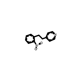 O=[N+]([O-])c1ccccc1CCc1ccncc1